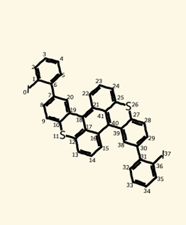 Ic1ccccc1-c1ccc2sc3cccc4c3c(c2c1)c1cccc2sc3ccc(-c5ccccc5I)cc3c4c21